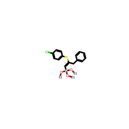 CCO[Si](/C=C(\Cc1ccccc1)Sc1ccc(Cl)cc1)(OCC)OCC